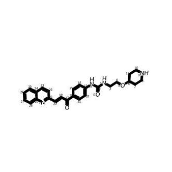 O=C(NCCOC1CCNCC1)Nc1ccc(C(=O)/C=C/c2ccc3ccccc3n2)cc1